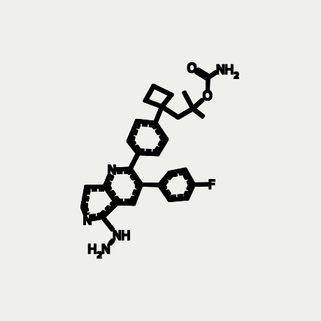 CC(C)(CC1(c2ccc(-c3nc4ccnc(NN)c4cc3-c3ccc(F)cc3)cc2)CCC1)OC(N)=O